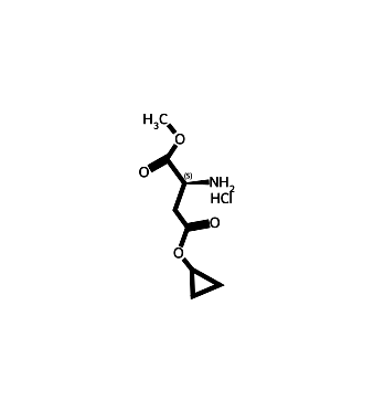 COC(=O)[C@@H](N)CC(=O)OC1CC1.Cl